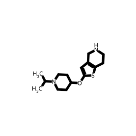 CC(C)N1CCC(Oc2cc3c(s2)CCNC3)CC1